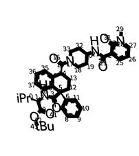 CC(C)[C@@H](NC(=O)[C@@]1(c2ccccc2)CC[C@H](C(=O)N2CCC(NC(=O)c3cccn(C)c3=O)CC2)c2ccccc21)C(=O)OC(C)(C)C